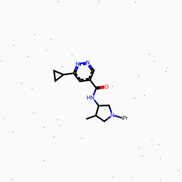 CC1CN(C(C)C)CC1NC(=O)c1cnnc(C2CC2)c1